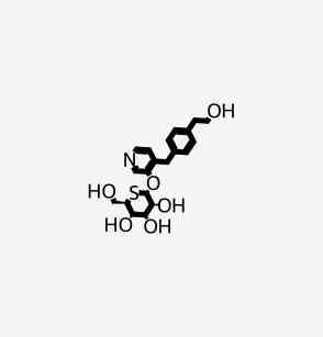 OCCc1ccc(Cc2ccncc2O[C@@H]2S[C@H](CO)[C@@H](O)[C@H](O)[C@H]2O)cc1